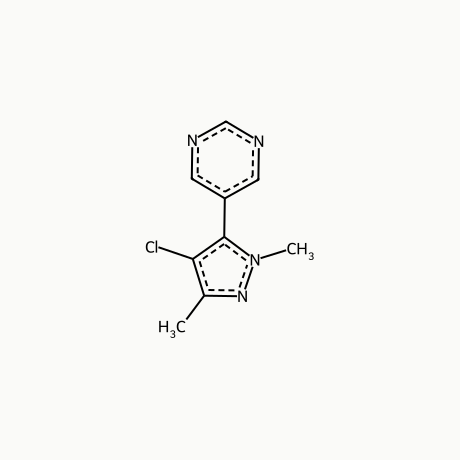 Cc1nn(C)c(-c2cncnc2)c1Cl